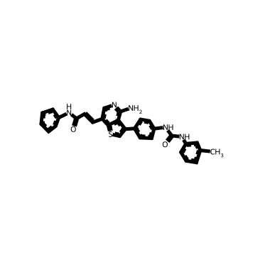 Cc1cccc(NC(=O)Nc2ccc(-c3csc4c(C=CC(=O)Nc5ccccc5)cnc(N)c34)cc2)c1